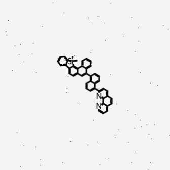 C[Si]1(C)c2ccccc2-c2ccc3cc(-c4cccc5c(-c6ccc7ccc8cccnc8c7n6)cccc45)c4ccccc4c3c21